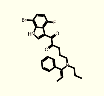 CC=C(c1ccccc1)N(CCC)CCCC(=O)C(=O)c1c[nH]c2c(Br)ccc(F)c12